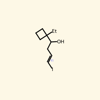 CCC1(C(O)C/C=C/I)CCC1